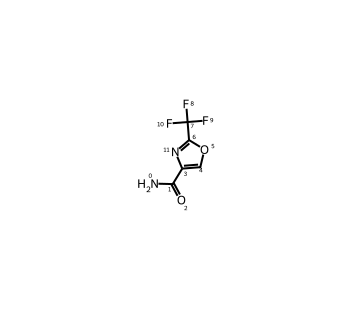 NC(=O)c1coc(C(F)(F)F)n1